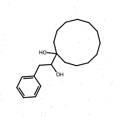 OC(Cc1ccccc1)C1(O)CCCCCCCCCCC1